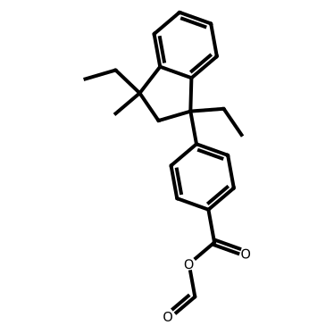 CCC1(C)CC(CC)(c2ccc(C(=O)OC=O)cc2)c2ccccc21